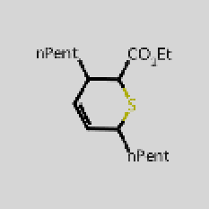 CCCCCC1C=CC(CCCCC)C(C(=O)OCC)S1